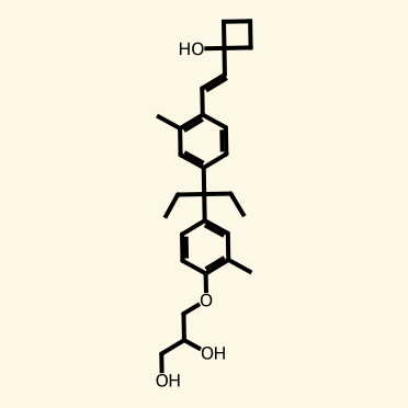 CCC(CC)(c1ccc(C=CC2(O)CCC2)c(C)c1)c1ccc(OCC(O)CO)c(C)c1